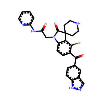 O=C(CN1C(=O)C2(CCNCC2)c2c1ccc(C(=O)c1ccc3[nH]ncc3c1)c2Br)Nc1ccccn1